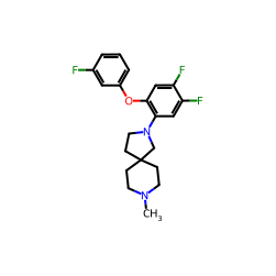 CN1CCC2(CC1)CCN(c1cc(F)c(F)cc1Oc1cccc(F)c1)C2